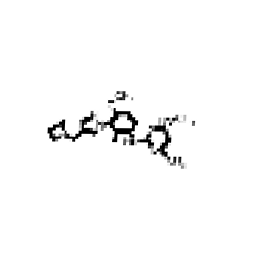 CNc1cc(C)nc(Nc2ccc(OC)c(-n3cc(CN4CCC4)cn3)c2F)n1